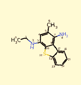 CCNc1cc(C)c(N)c2c1sc1ccccc12